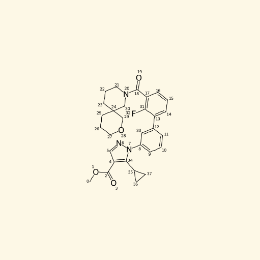 COC(=O)c1cnn(-c2cccc(-c3cccc(C(=O)N4CCCC5(CCCOC5)C4)c3F)c2)c1C1CC1